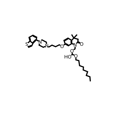 CCCCCCCCCOC(O)OCN1C(=O)CC(C)(C)c2ccc(OCCCCN3CCN(c4cccc5sccc45)CC3)cc21